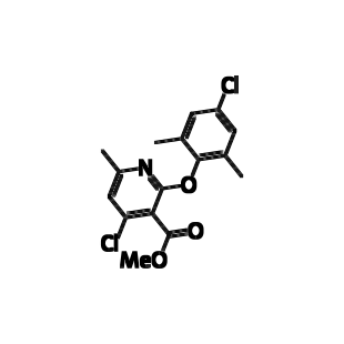 COC(=O)c1c(Cl)cc(C)nc1Oc1c(C)cc(Cl)cc1C